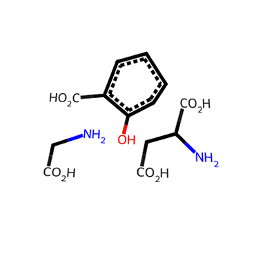 NC(CC(=O)O)C(=O)O.NCC(=O)O.O=C(O)c1ccccc1O